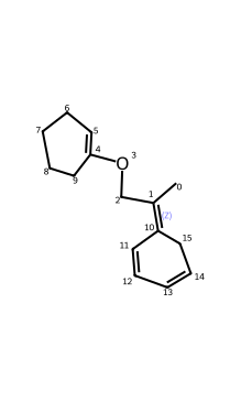 C/C(COC1=CCCCC1)=C1/C=CC=CC1